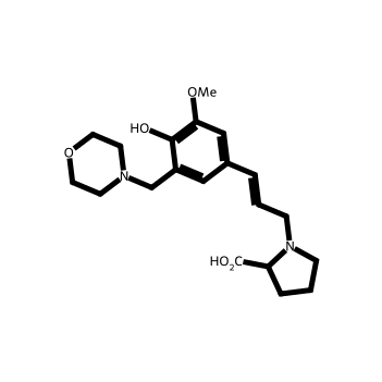 COc1cc(C=CCN2CCCC2C(=O)O)cc(CN2CCOCC2)c1O